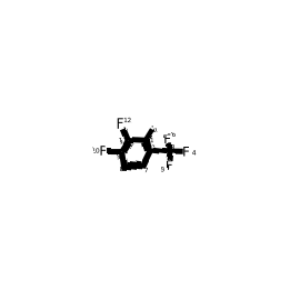 [CH2]c1c(C(F)(F)F)ccc(F)c1F